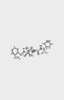 Cc1ncccc1O[C@H]1CO[C@H]2[C@@H]1OC[C@@H]2NC(=O)NC1(c2cccnc2)CC1